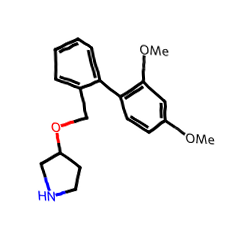 COc1ccc(-c2ccccc2COC2CCNC2)c(OC)c1